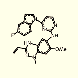 C=CC(=O)Nc1cc(Nc2nccc(-n3ccc4cc(F)ccc43)n2)c(OC)cc1N(C)C